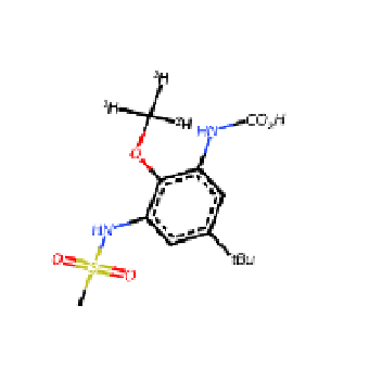 [2H]C([2H])([2H])Oc1c(NC(=O)O)cc(C(C)(C)C)cc1NS(C)(=O)=O